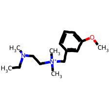 CCN(C)CC[N+](C)(C)Cc1cccc(OC)c1